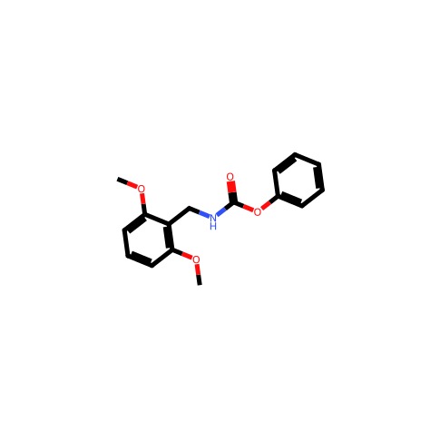 COc1cccc(OC)c1CNC(=O)Oc1ccccc1